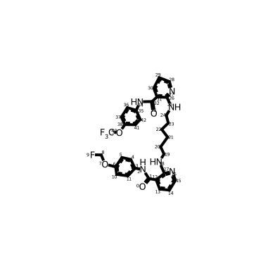 O=C(Nc1ccc(OCF)cc1)c1cccnc1NCCCCCCNc1ncccc1C(=O)Nc1ccc(OC(F)(F)F)cc1